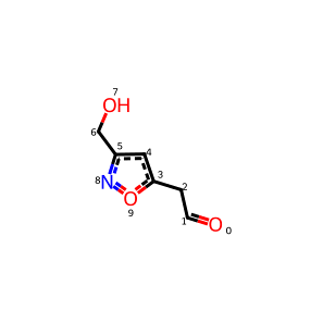 O=CCc1cc(CO)no1